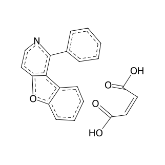 O=C(O)/C=C\C(=O)O.c1ccc(-c2nccc3oc4ccccc4c23)cc1